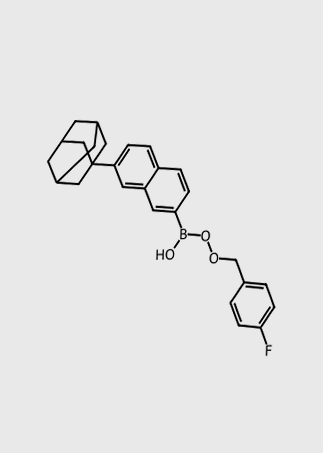 OB(OOCc1ccc(F)cc1)c1ccc2ccc(C34CC5CC(CC(C5)C3)C4)cc2c1